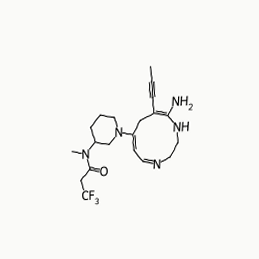 CC#C/C1=C(\N)NCC/N=C\C=C(\N2CCCC(N(C)C(=O)CC(F)(F)F)C2)C1